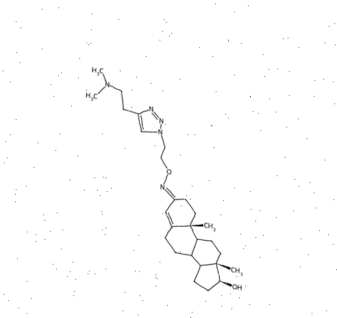 CN(C)CCc1cn(CCON=C2C=C3CCC4C(CC[C@@]5(C)C4CC[C@@H]5O)[C@@]3(C)CC2)nn1